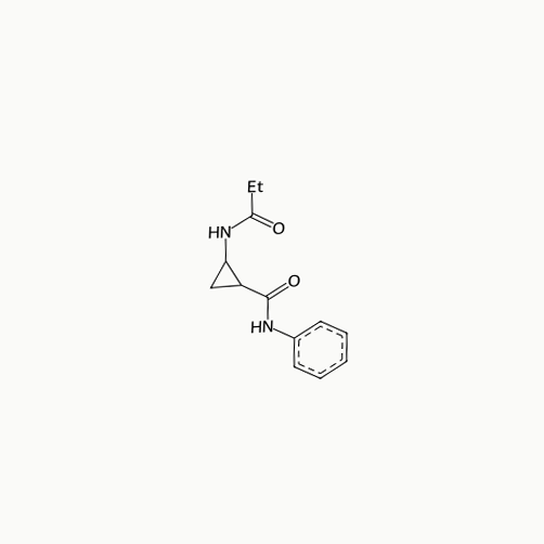 CCC(=O)NC1CC1C(=O)Nc1ccccc1